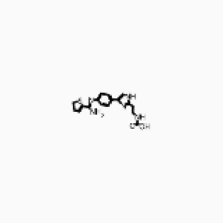 N/C(=N\c1ccc(-c2c[nH]c(CCNC(=O)O)n2)cc1)c1cccs1